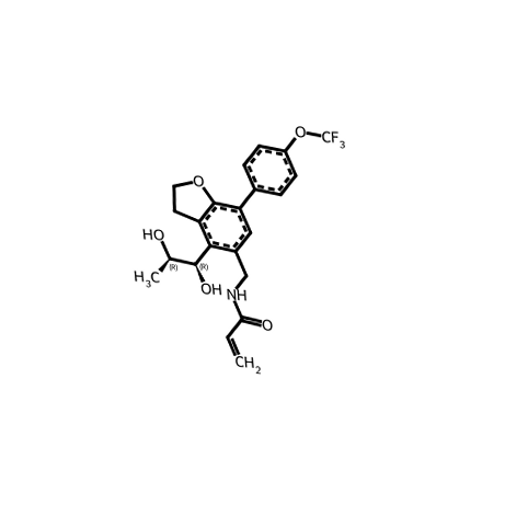 C=CC(=O)NCc1cc(-c2ccc(OC(F)(F)F)cc2)c2c(c1[C@@H](O)[C@@H](C)O)CCO2